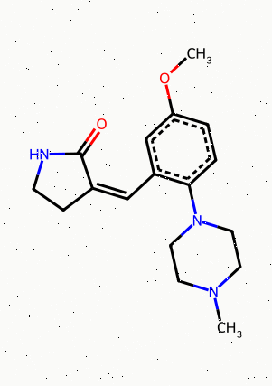 COc1ccc(N2CCN(C)CC2)c(C=C2CCNC2=O)c1